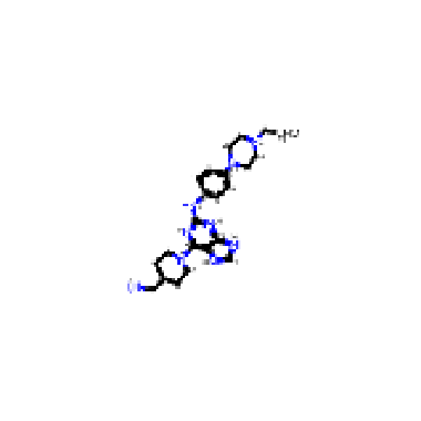 NCC1CCN(c2nc(Nc3ccc(N4CCN(CC=O)CC4)cc3)nc3[nH]cnc23)CC1